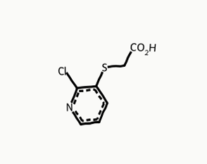 O=C(O)CSc1cccnc1Cl